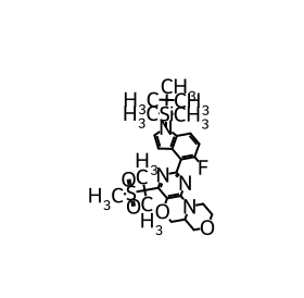 CC(C)(C)[Si](C)(C)n1ccc2c(-c3nc4c(c(C(C)(C)S(C)(=O)=O)n3)OCC3COCCN43)c(F)ccc21